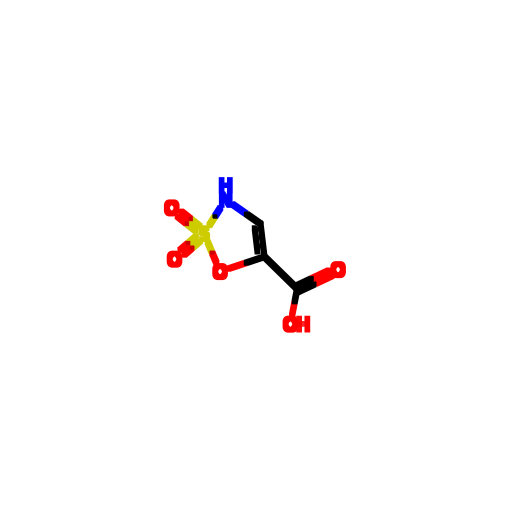 O=C(O)C1=CNS(=O)(=O)O1